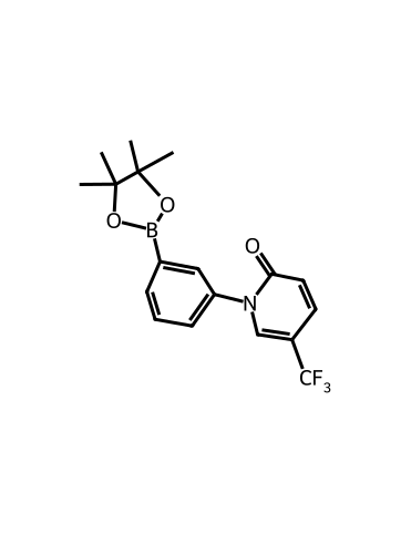 CC1(C)OB(c2cccc(-n3cc(C(F)(F)F)ccc3=O)c2)OC1(C)C